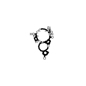 CC[C@H]1CCCC[C@H](O)[C@@H]2CC[C@H]2CN2CCCCc3cc(Cl)ccc3COc3ccc(cc32)C(=O)NS1(=O)=O